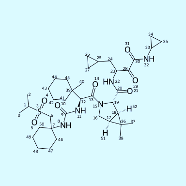 CC(C)S(=O)(=O)CC1(NC(=O)N[C@H](C(=O)N2C[C@H]3[C@@H]([C@H]2C(=O)NC(CC2CC2)C(=O)C(=O)NC2CC2)C3(C)C)C2(C)CCCCC2)CCCCC1